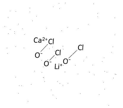 [Ca+2].[Li+].[O-]Cl.[O-]Cl.[O-]Cl